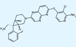 NC[C@]1(c2ccccc2F)[C@@H]2CCN(c3cnc4nc(Sc5ccnc(N)c5Cl)ccc4n3)C[C@@H]21